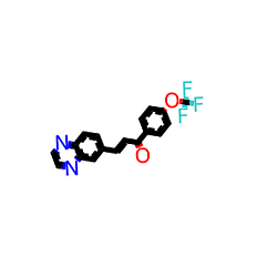 O=C(/C=C/c1ccc2nccnc2c1)c1ccc(OC(F)(F)F)cc1